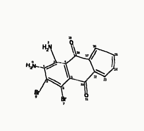 Nc1c(N)c2c(c(Br)c1Br)C(=O)c1ccccc1C2=O